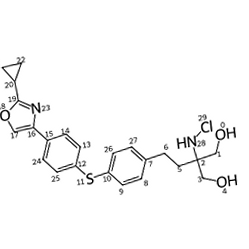 OCC(CO)(CCc1ccc(Sc2ccc(-c3coc(C4CC4)n3)cc2)cc1)NCl